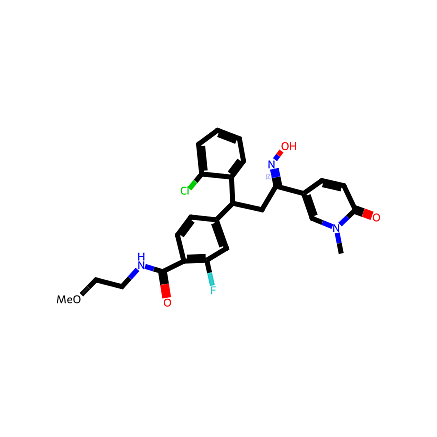 COCCNC(=O)c1ccc(C(C/C(=N/O)c2ccc(=O)n(C)c2)c2ccccc2Cl)cc1F